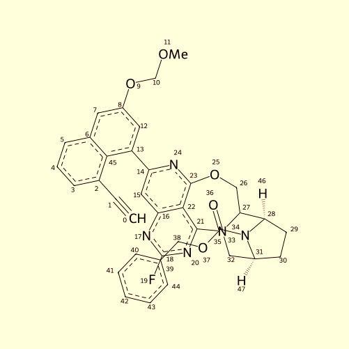 C#Cc1cccc2cc(OCOC)cc(-c3cc4nc(F)nc5c4c(n3)OCC3[C@H]4CC[C@@H](CN53)N4C(=O)OCc3ccccc3)c12